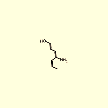 C\C=C/C(N)=C\C=C\O